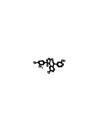 COCN(c1cc(Cl)cnc1C(=O)c1ccnc(O)c1)S(=O)(=O)c1ccc(Cl)c(C(F)(F)F)c1